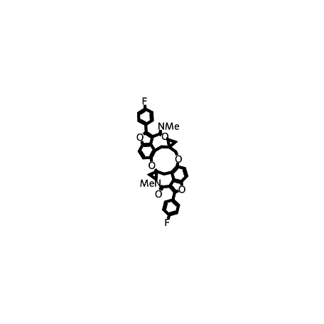 CNC(=O)c1c(-c2ccc(F)cc2)oc2ccc3c(c12)CC1(CC1)Oc1ccc2oc(-c4ccc(F)cc4)c(C(=O)NC)c2c1CC1(CC1)CO3